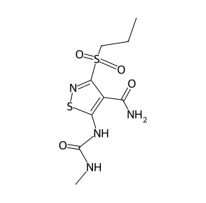 CCCS(=O)(=O)c1nsc(NC(=O)NC)c1C(N)=O